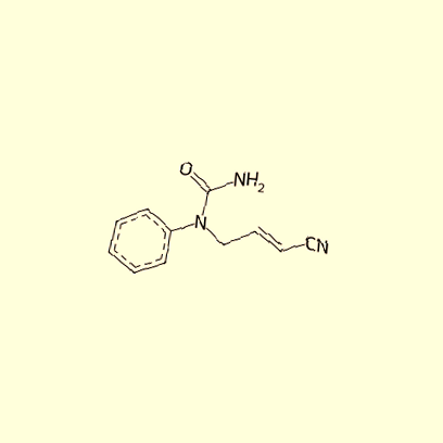 N#CC=CCN(C(N)=O)c1ccccc1